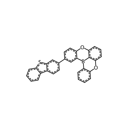 c1ccc2c(c1)Oc1cccc3c1B2c1cc(-c2ccc4c(c2)sc2ccccc24)ccc1O3